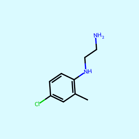 Cc1cc(Cl)ccc1NCCN